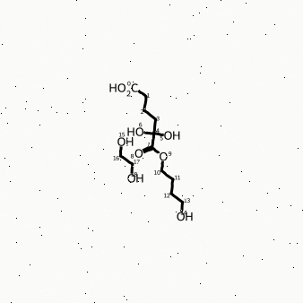 O=C(O)CCCC(O)(O)C(=O)OCCCCO.OCCO